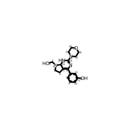 OCN1CCC2=C(c3cccc(O)c3)N=C(N3CCOCC3)NC21